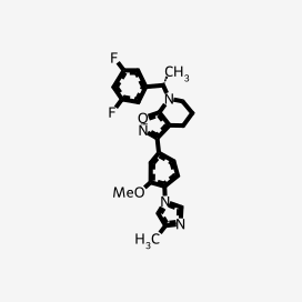 COc1cc(-c2noc3c2CCCN3[C@@H](C)c2cc(F)cc(F)c2)ccc1-n1cnc(C)c1